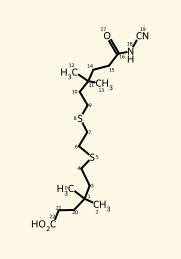 CC(C)(CCSCCSCCC(C)(C)CCC(=O)NC#N)CCC(=O)O